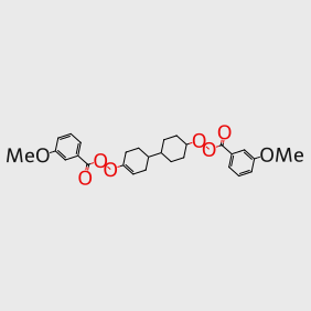 COc1cccc(C(=O)OOC2=CCC(C3CCC(OOC(=O)c4cccc(OC)c4)CC3)CC2)c1